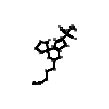 COCCCN1CC2(OCCO2)c2cc(S(N)(=O)=O)sc2S1